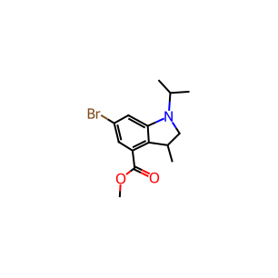 COC(=O)c1cc(Br)cc2c1C(C)CN2C(C)C